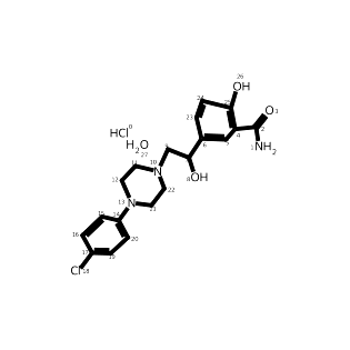 Cl.NC(=O)c1cc(C(O)CN2CCN(c3ccc(Cl)cc3)CC2)ccc1O.O